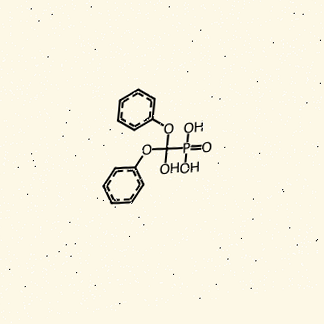 O=P(O)(O)C(O)(Oc1ccccc1)Oc1ccccc1